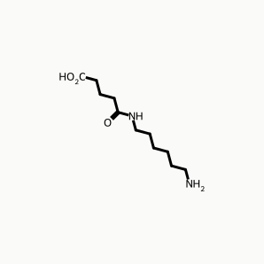 NCCCCCCNC(=O)CCCC(=O)O